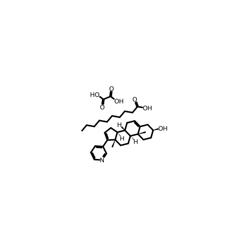 CCCCCCCCCC(=O)O.C[C@]12CC[C@H](O)CC1=CC[C@@H]1[C@@H]2CC[C@]2(C)C(c3cccnc3)=CC[C@@H]12.O=C(O)C(=O)O